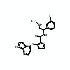 CNCC(NC(=O)c1sccc1Nc1ccnc2[nH]ccc12)c1cccc(F)c1